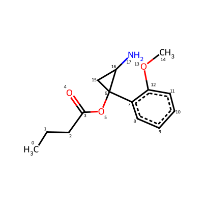 CCCC(=O)OC1(c2ccccc2OC)CC1N